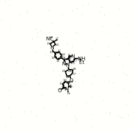 CCNc1cc2c(cn1)c(-c1ccc(CN3CC(C)(C#N)C3)cc1)nn2C1CCC(Oc2ccc(=O)n(C)n2)CC1